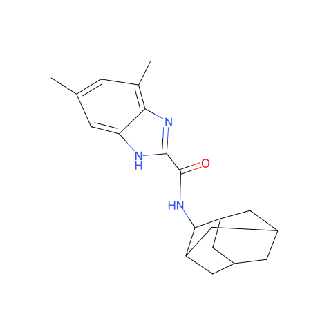 Cc1cc(C)c2nc(C(=O)NC3C4CC5CC(C4)CC3C5)[nH]c2c1